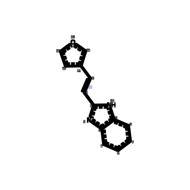 C(=C\c1nc2ccccc2[nH]1)/c1ccoc1